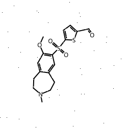 COc1cc2c(cc1S(=O)(=O)c1ccc(C=O)s1)CCN(C)CC2